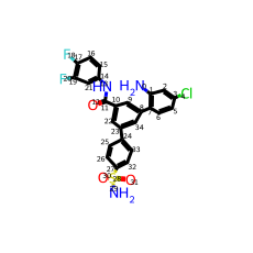 Nc1cc(Cl)ccc1-c1cc(C(=O)Nc2ccc(F)c(F)c2)cc(-c2ccc(S(N)(=O)=O)cc2)c1